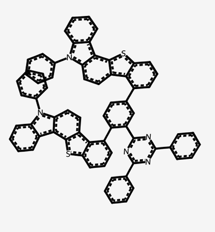 c1ccc(-c2nc(-c3ccccc3)nc(-c3cc(-c4cccc5sc6c(ccc7c6c6ccccc6n7-c6ccccc6)c45)ccc3-c3cccc4sc5c(ccc6c5c5ccccc5n6-c5ccccc5)c34)n2)cc1